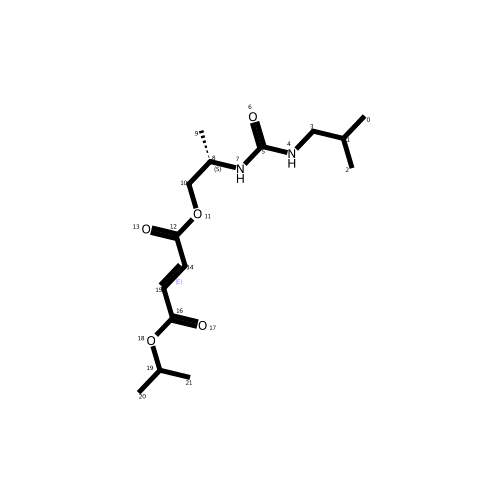 CC(C)CNC(=O)N[C@@H](C)COC(=O)/C=C/C(=O)OC(C)C